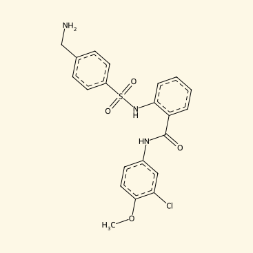 COc1ccc(NC(=O)c2ccccc2NS(=O)(=O)c2ccc(CN)cc2)cc1Cl